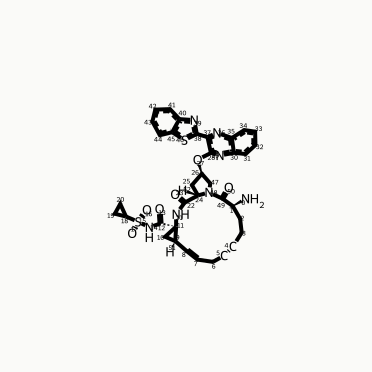 N[C@H]1CCCCC/C=C\[C@H]2C[C@@]2(C(=O)NS(=O)(=O)C2CC2)NC(=O)[C@@H]2C[C@@H](Oc3nc4ccccc4nc3-c3nc4ccccc4s3)CN2C1=O